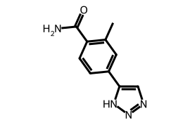 Cc1cc(-c2cnn[nH]2)ccc1C(N)=O